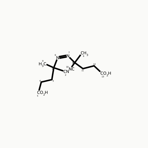 CC(C#N)(CCC(=O)O)/N=N\C(C)(C#N)CCC(=O)O